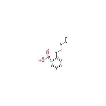 C[CH]CCCc1ccccc1C(=O)O